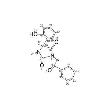 CN1C(=O)N(CC(=O)c2ccccc2)C(=O)C1(C)c1ccccc1O